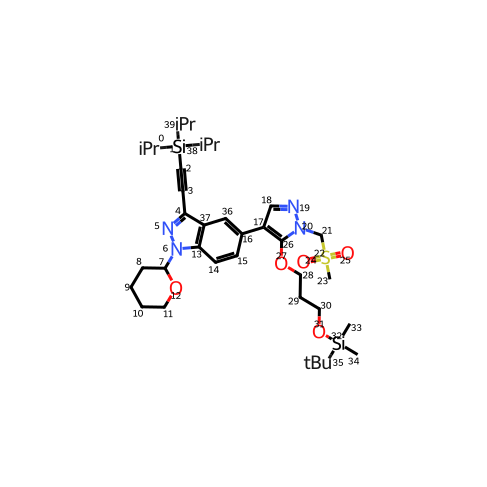 CC(C)[Si](C#Cc1nn(C2CCCCO2)c2ccc(-c3cnn(CS(C)(=O)=O)c3OCCCO[Si](C)(C)C(C)(C)C)cc12)(C(C)C)C(C)C